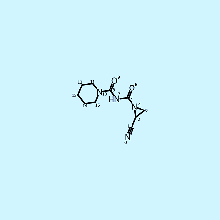 N#CC1CN1C(=O)NC(=O)N1CCCCC1